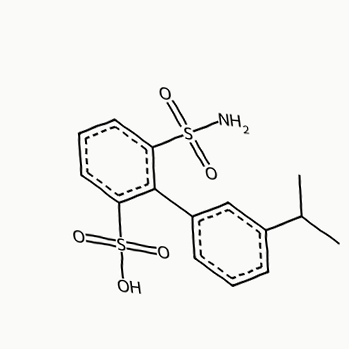 CC(C)c1cccc(-c2c(S(N)(=O)=O)cccc2S(=O)(=O)O)c1